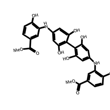 COC(=O)c1ccc(O)c(Nc2cc(O)c(-c3c(O)cc(Nc4cc(C(=O)OC)ccc4O)cc3O)c(O)c2)c1